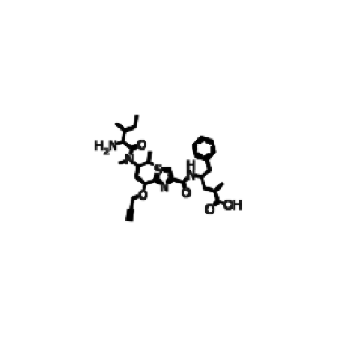 C#CCOC(CC(C(C)C)N(C)C(=O)C(N)C(C)CC)c1nc(C(=O)NC(Cc2ccccc2)CC(C)C(=O)O)cs1